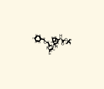 CC(C)(C)OC(=O)NC1C[C@@H](n2cc(I)nc2COCc2ccccc2)C2CC1C2